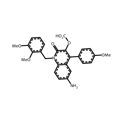 COc1ccc(-c2c(OC(=O)O)c(=O)n(Cc3cccc(OC)c3OC)c3ccc(N)cc23)cc1